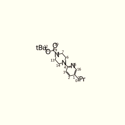 CC(C)c1ccc(N2CCN(C(=O)OC(C)(C)C)CC2)nc1